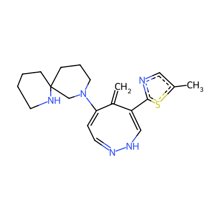 C=C1/C(c2ncc(C)s2)=C\N/N=C\C=C/1N1CCCC2(CCCCN2)C1